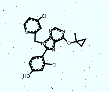 CC1(Oc2ncnc3c2nc(-c2ccc(O)cc2Cl)n3Cc2cc(Cl)ccn2)CC1